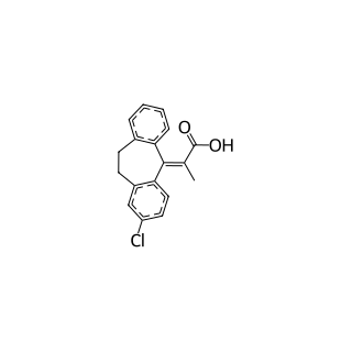 CC(C(=O)O)=C1c2ccccc2CCc2cc(Cl)ccc21